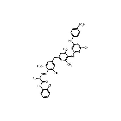 CC(=O)C(N=Nc1c(C)cc(Cc2cc(C)c(Nc3nc(O)nc(Nc4ccc(S(=O)(=O)O)cc4)n3)c(C)c2)cc1C)C(=O)Nc1ccccc1Cl